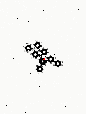 c1ccc(-c2ccc3c(c2)c2cc(-c4ccccc4)ccc2n3-c2cccc3c2N(c2ccccc2)c2cccc4c2B3c2ccccc2N4c2ccccc2)cc1